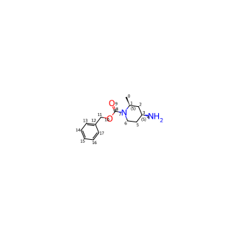 C[C@H]1C[C@@H](N)CCN1C(=O)OCc1ccccc1